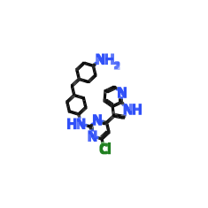 NC1CCC(CC2CCC(Nc3nc(Cl)cc(-c4c[nH]c5ncccc45)n3)CC2)CC1